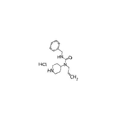 C=CCN(C(=O)NCc1ccccc1)C1CCNCC1.Cl